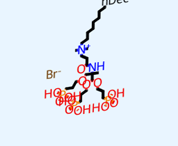 CCCCCCCCCCCCCCCCCC[N+](C)(C)CCC(=O)NC(C)(COCCCP(=O)(O)O)C(OCCCP(=O)(O)O)OCCCP(=O)(O)O.[Br-]